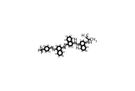 CCC(C)Nc1ccc(NNc2ccc(/N=N/c3ccc(/N=N/c4ccc(C(F)(F)F)cc4)c4ccccc34)c3ccccc23)c2ccccc12